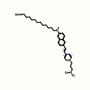 C/C=C(\C=C/NCCCN(CC)CC)/C=C/c1ccc2cc(N(C)CCCCCCCCCCCCNC)ccc2c1